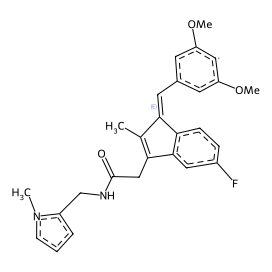 COc1[c]c(OC)cc(/C=C2/C(C)=C(CC(=O)NCc3cccn3C)c3cc(F)ccc32)c1